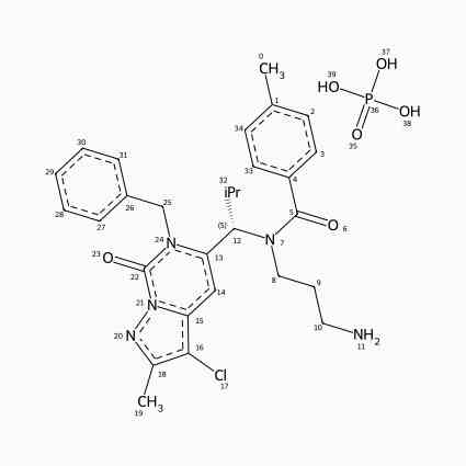 Cc1ccc(C(=O)N(CCCN)[C@H](c2cc3c(Cl)c(C)nn3c(=O)n2Cc2ccccc2)C(C)C)cc1.O=P(O)(O)O